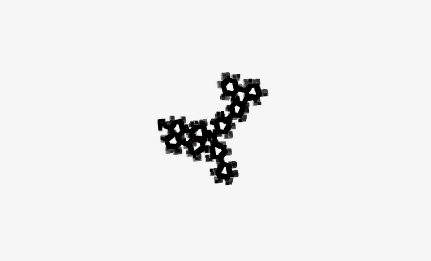 Fc1ccc(-c2ccc(N(c3ccc(-c4ccccc4)cc3)c3ccc(-c4ccc(-c5ccccc5-c5ccccc5)cc4)cc3)cc2)c2c(-c3ccccc3)cccc12